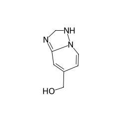 OCC1=CC2=NCNN2C=C1